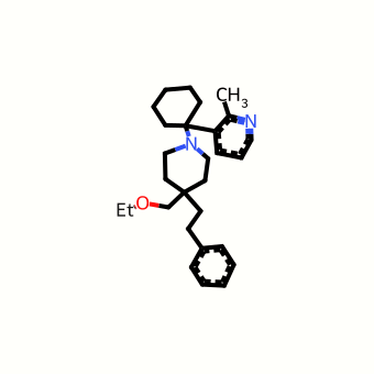 CCOCC1(CCc2ccccc2)CCN(C2(c3cccnc3C)CCCCC2)CC1